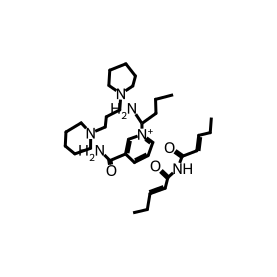 C1CCN(CCCN2CCCCC2)CC1.CCC=CC(=O)NC(=O)C=CCC.CCCC(N)[n+]1cccc(C(N)=O)c1